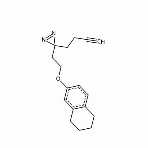 C#CCCC1(CCOc2ccc3c(c2)CCCC3)N=N1